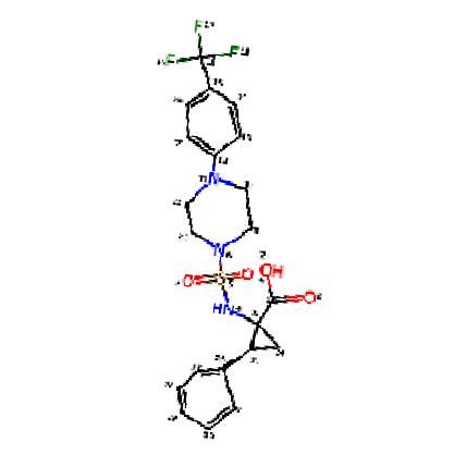 O=C(O)C1(NS(=O)(=O)N2CCN(c3ccc(C(F)(F)F)cc3)CC2)C[C@H]1c1ccccc1